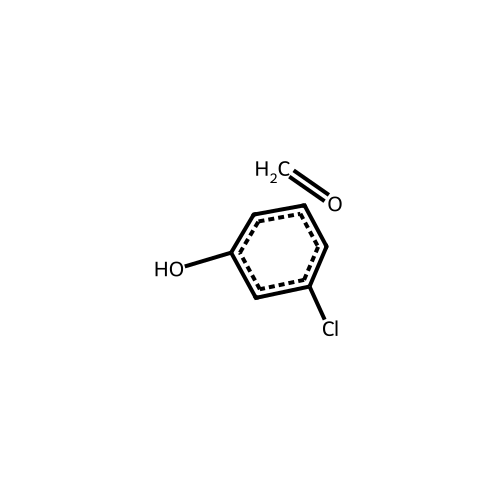 C=O.Oc1cccc(Cl)c1